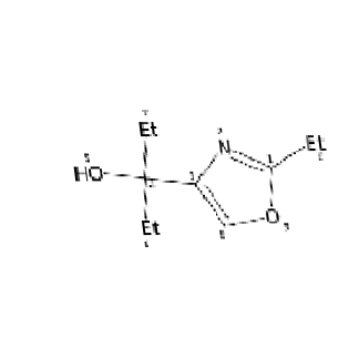 CCc1nc(C(O)(CC)CC)co1